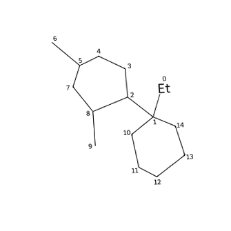 CCC1(C2CCC(C)CC2C)CCCCC1